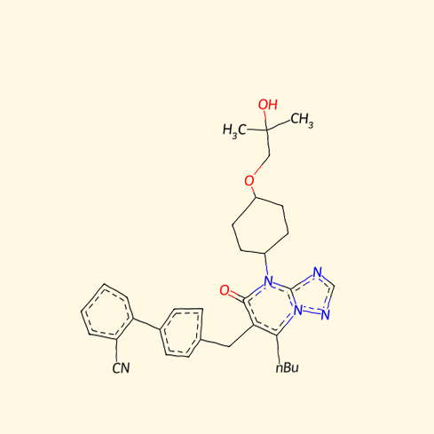 CCCCc1c(Cc2ccc(-c3ccccc3C#N)cc2)c(=O)n(C2CCC(OCC(C)(C)O)CC2)c2ncnn12